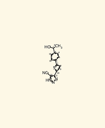 CC(O)c1ccc(-c2ccc(-c3nn[nH]c3C#N)s2)cc1